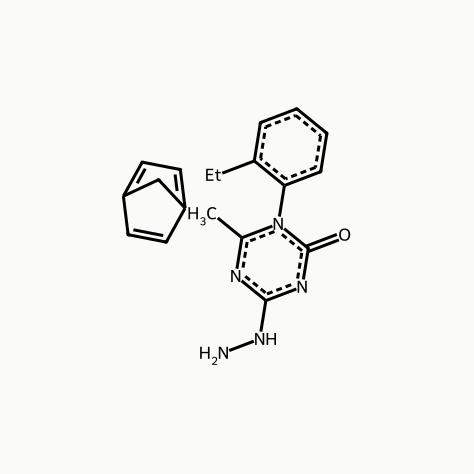 C1=CC2=CC=C1C2.CCc1ccccc1-n1c(C)nc(NN)nc1=O